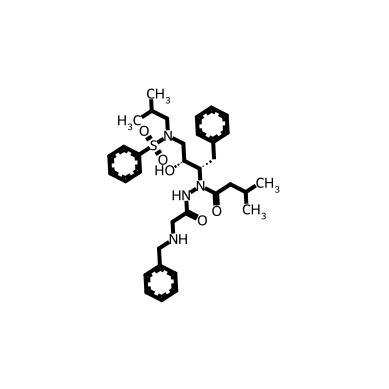 CC(C)CC(=O)N(NC(=O)CNCc1ccccc1)[C@@H](Cc1ccccc1)[C@H](O)CN(CC(C)C)S(=O)(=O)c1ccccc1